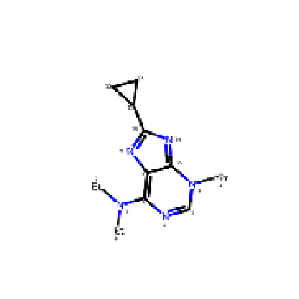 CCCn1cnc(N(CC)CC)c2nc(C3CC3)nc1-2